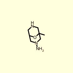 CC12CNCC(CN(N)C1)O2